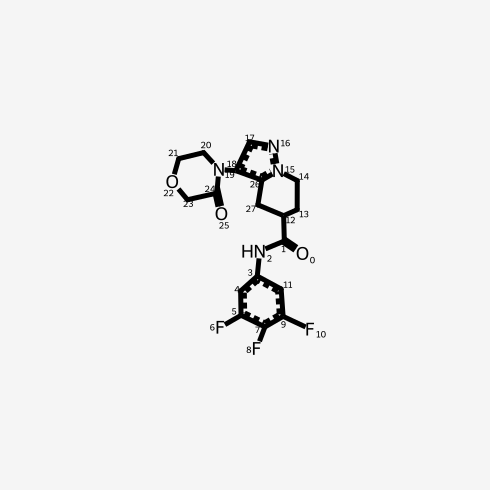 O=C(Nc1cc(F)c(F)c(F)c1)C1CCn2ncc(N3CCOCC3=O)c2C1